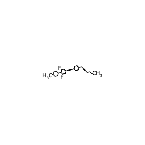 CCCCC#CCc1ccc(C#Cc2cc(F)c(C3CCC(C)CC3)c(F)c2)cc1